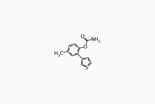 Cc1ccc(OC(N)=O)c(-c2ccsc2)c1